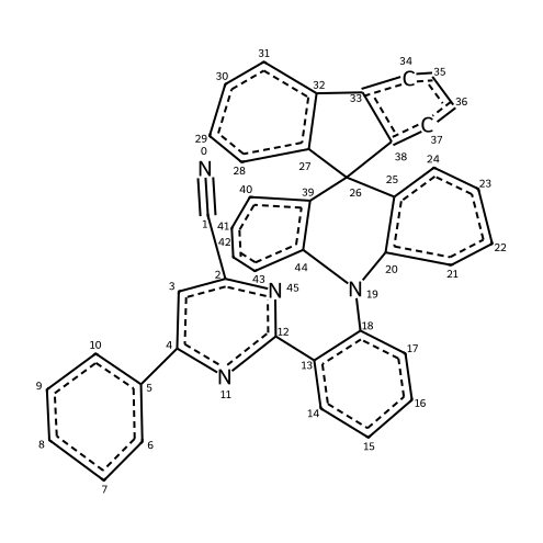 N#Cc1cc(-c2ccccc2)nc(-c2ccccc2N2c3ccccc3C3(c4ccccc4-c4ccccc43)c3ccccc32)n1